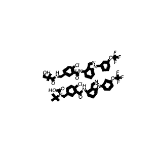 CC(C)(C)N(Cc1ccc(Cl)c(C(=O)Nc2cccc3c2cnn3-c2cccc(OC(F)(F)F)c2)c1)C(=O)O.CC(C)(CO)C(=O)NCc1ccc(Cl)c(C(=O)Nc2cccc3c2cnn3-c2cccc(OC(F)(F)F)c2)c1